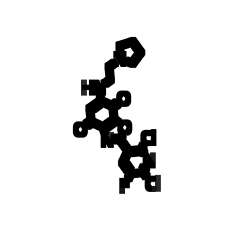 O=C1C=C(NCCN2CCCC2)C(=O)c2oc(-c3cc(F)c(Cl)nc3Cl)nc21